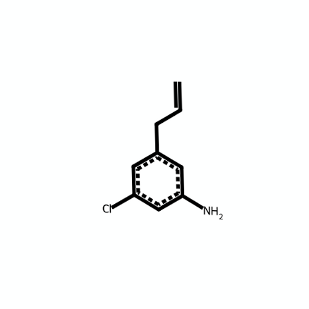 C=CCc1cc(N)cc(Cl)c1